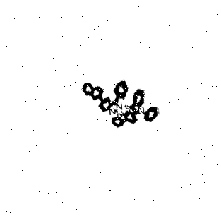 c1ccc(-c2nc(-n3c4ccccc4c4ccc5c(sc6c7ccccc7n(-c7ccccc7)c56)c43)nc3ccc(-c4ccc5ccccc5c4)cc23)cc1